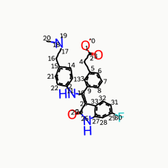 COC(=O)Cc1cccc(/C(Nc2ccc(CCN(C)C)cc2)=C2/C(=O)Nc3cc(F)ccc32)c1